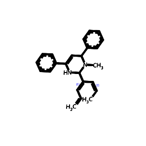 C=C/C=C(\C=C/C)C1NC(c2ccccc2)=CC(c2ccccc2)N1C